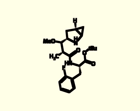 COC([C@@H]1C[C@H]2CC2N1)[C@@H](C)C(=O)N[C@@H](Cc1ccccc1F)C(=O)OC(C)(C)C